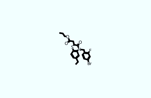 CCCOC(=O)CC1Sc2ccc(CC)cc2N(Cc2ccc(Br)cc2F)C1=O